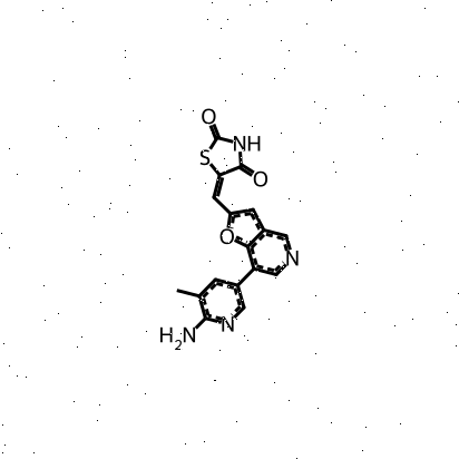 Cc1cc(-c2cncc3cc(C=C4SC(=O)NC4=O)oc23)cnc1N